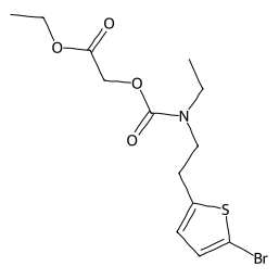 CCOC(=O)COC(=O)N(CC)CCc1ccc(Br)s1